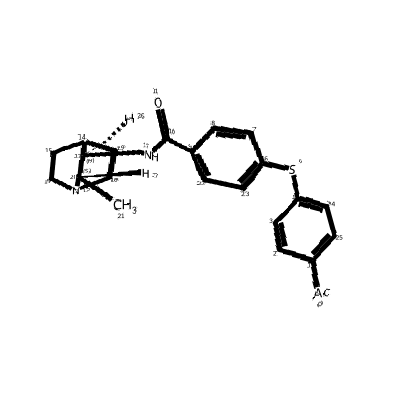 CC(=O)c1ccc(Sc2ccc(C(=O)N[C@@H]3C4CCN(CC4)[C@H]3C)cc2)cc1